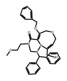 COCCN1CN(C(c2ccccc2)c2ccccc2)N2/C(CN)=C\COC/C(OCc3ccccc3)=C\2C1=O